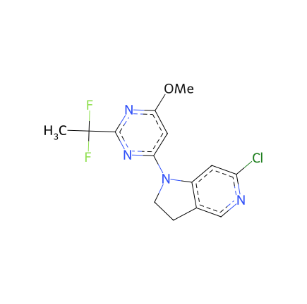 COc1cc(N2CCc3cnc(Cl)cc32)nc(C(C)(F)F)n1